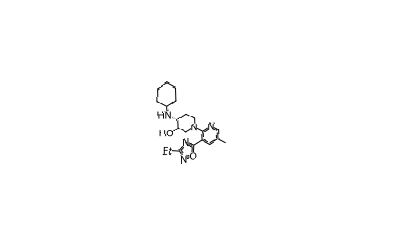 CCc1noc(-c2cc(C)cnc2N2CC[C@@H](NC3CCCCC3)[C@H](O)C2)n1